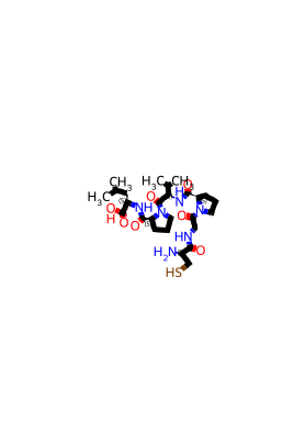 CC(C)C[C@H](NC(=O)[C@@H]1CCCN1C(=O)[C@@H](NC(=O)[C@@H]1CCCN1C(=O)CNC(=O)[C@@H](N)CS)C(C)C)C(=O)O